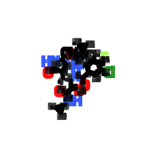 C[C@@H]1C[C@@H](C[C@H](NC(=O)c2cc(Cl)c(F)cc2NC(=O)C2(C(F)(F)F)CC2)C(=O)C(=O)NC2CC2)C(=O)N1